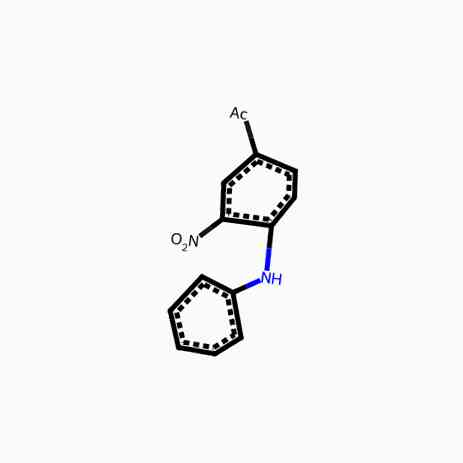 CC(=O)c1ccc(Nc2ccccc2)c([N+](=O)[O-])c1